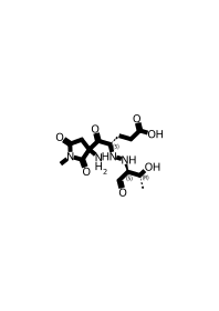 C[C@@H](O)[C@@H](C=O)NN[C@@H](CCC(=O)O)C(=O)C1(N)CC(=O)N(C)C1=O